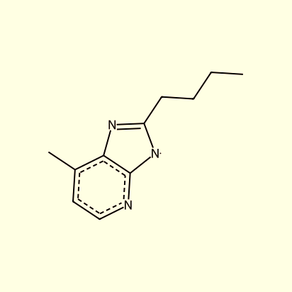 CCCCC1=Nc2c(C)ccnc2[N]1